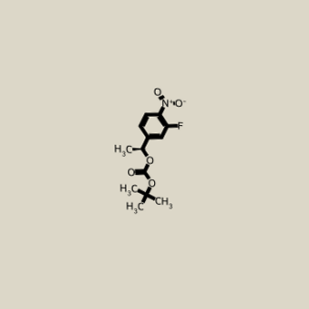 C[C@H](OC(=O)OC(C)(C)C)c1ccc([N+](=O)[O-])c(F)c1